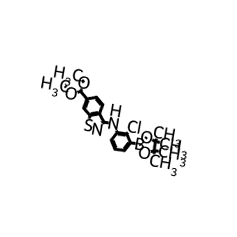 COC(OC)c1ccc2c(Nc3cccc(B4OC(C)(C)C(C)(C)O4)c3Cl)nsc2c1